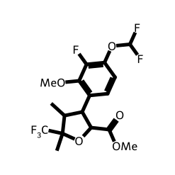 COC(=O)C1OC(C)(C(F)(F)F)C(C)C1c1ccc(OC(F)F)c(F)c1OC